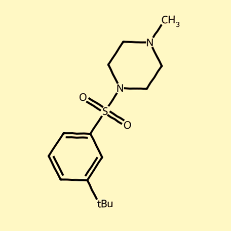 CN1CCN(S(=O)(=O)c2cccc(C(C)(C)C)c2)CC1